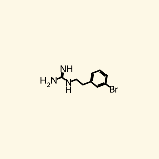 N=C(N)NCCc1cccc(Br)c1